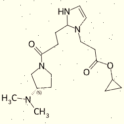 CN(C)[C@H]1CCN(C(=O)CCC2NC=CN2CCC(=O)OC2CC2)C1